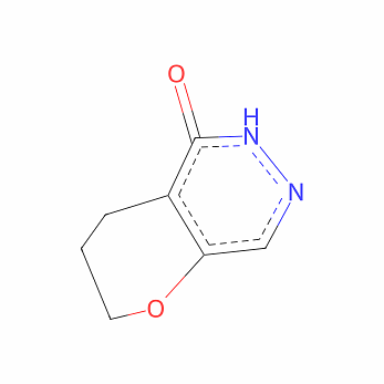 O=c1[nH]ncc2c1CCCO2